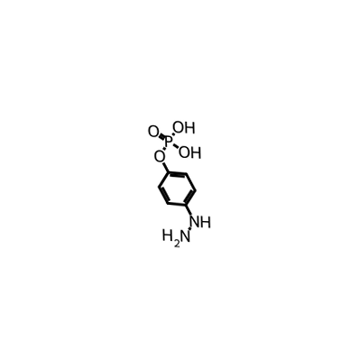 NNc1ccc(OP(=O)(O)O)cc1